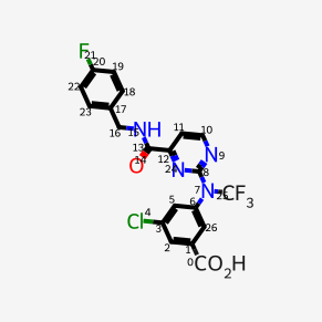 O=C(O)c1cc(Cl)cc(N(c2nccc(C(=O)NCc3ccc(F)cc3)n2)C(F)(F)F)c1